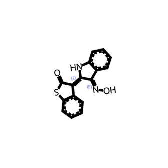 O=C1Sc2ccccc2/C1=C1/Nc2ccccc2/C1=N\O